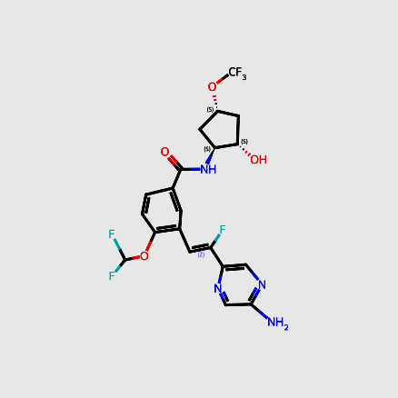 Nc1cnc(/C(F)=C/c2cc(C(=O)N[C@H]3C[C@H](OC(F)(F)F)C[C@@H]3O)ccc2OC(F)F)cn1